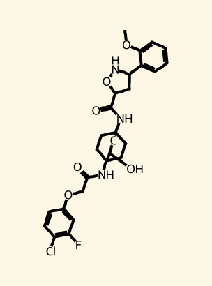 COc1ccccc1C1CC(C(=O)NC23CCC(NC(=O)COc4ccc(Cl)c(F)c4)(CC2)C(O)C3)ON1